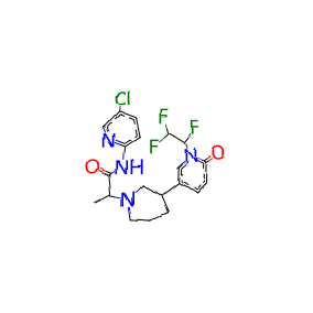 CC(C(=O)Nc1ccc(Cl)cn1)N1CCCC(c2ccc(=O)n(C(F)C(F)F)c2)C1